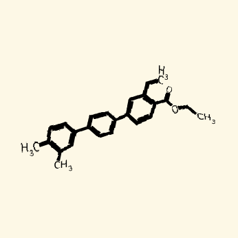 CCOC(=O)c1ccc(-c2ccc(-c3ccc(C)c(C)c3)cc2)cc1CC